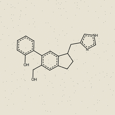 OCc1cc2c(cc1-c1ccccc1O)C(Cc1c[nH]cn1)CC2